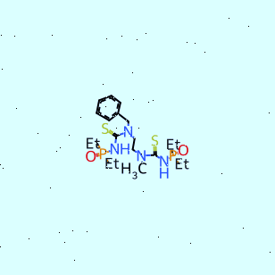 CCP(=O)(CC)NC(=S)N(C)CCN(Cc1ccccc1)C(=S)NP(=O)(CC)CC